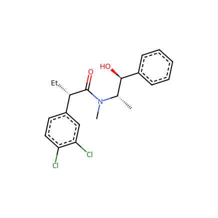 CC[C@H](C(=O)N(C)[C@@H](C)[C@@H](O)c1ccccc1)c1ccc(Cl)c(Cl)c1